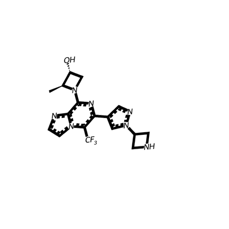 C[C@H]1[C@H](O)CN1c1nc(-c2cnn(C3CNC3)c2)c(C(F)(F)F)n2ccnc12